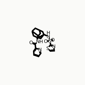 O=C(NC12CC3CC(C1)CC(NS(=O)(=O)c1nccs1)(C3)C2)c1ccccn1